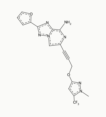 Cn1nc(OCC#Cc2cn3nc(-c4ccco4)nc3c(N)n2)cc1C(F)(F)F